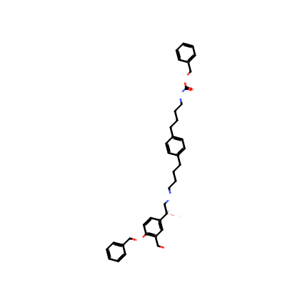 O=C(NCCCCc1ccc(CCCCNC[C@@H](O)c2ccc(OCc3ccccc3)c(CO)c2)cc1)OCc1ccccc1